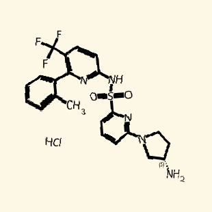 Cc1ccccc1-c1nc(NS(=O)(=O)c2cccc(N3CC[C@H](N)C3)n2)ccc1C(F)(F)F.Cl